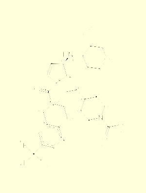 CO[C@@H]1COCC[C@@H]1N[C@@H]1C=C[C@](CCC2CCN(C(=O)O)CC2)(C(=O)N2CCc3ncc(C(F)(F)F)cc3C2)C1